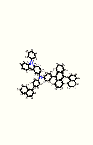 c1ccc(-n2c3ccccc3c3cc(N(c4ccc(-c5cccc6ccccc56)cc4)c4ccc(-c5c6ccccc6c(-c6cccc7c6CCCC7)c6ccccc56)cc4)ccc32)cc1